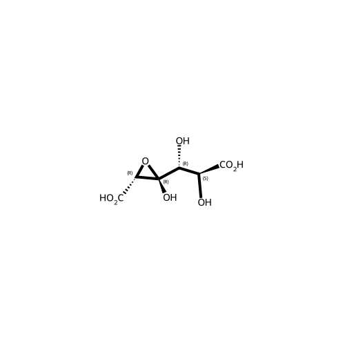 O=C(O)[C@@H](O)[C@@H](O)[C@@]1(O)O[C@H]1C(=O)O